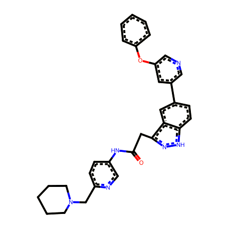 O=C(Cc1n[nH]c2ccc(-c3cncc(Oc4ccccc4)c3)cc12)Nc1ccc(CN2CCCCC2)nc1